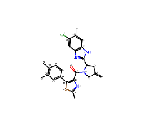 C=C1CC(c2nc3cc(Cl)c(C)cc3[nH]2)N(C(=O)c2nc(C)sc2-c2ccc(C)c(C)c2)C1